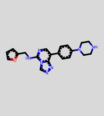 c1coc(CNc2ncc(-c3ccc(N4CCNCC4)cc3)c3nncn23)c1